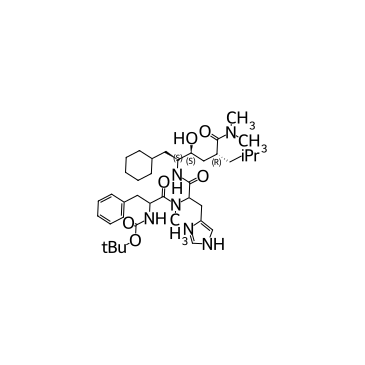 CC(C)C[C@H](C[C@H](O)[C@H](CC1CCCCC1)NC(=O)C(Cc1c[nH]cn1)N(C)C(=O)C(Cc1ccccc1)NC(=O)OC(C)(C)C)C(=O)N(C)C